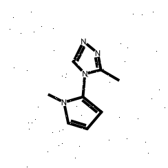 Cc1nncn1-c1cccn1C